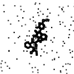 C=CC(=O)N[C@H]1CCCC[C@H]1NC(=O)c1sc2nccc3c2c1[nH]c(=C)n3-c1ccc(OC(C)C)nc1C